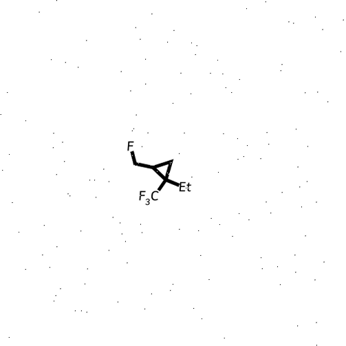 CCC1(C(F)(F)F)CC1CF